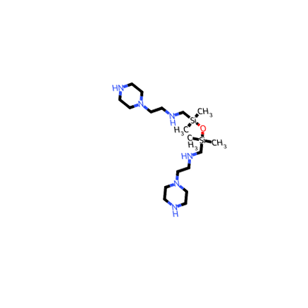 C[Si](C)(CNCCN1CCNCC1)O[Si](C)(C)CNCCN1CCNCC1